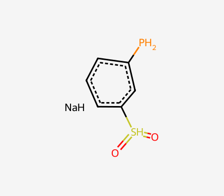 O=[SH](=O)c1cccc(P)c1.[NaH]